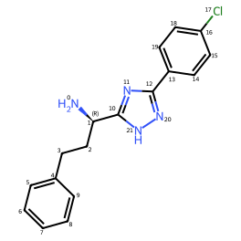 N[C@H](CCc1ccccc1)c1nc(-c2ccc(Cl)cc2)n[nH]1